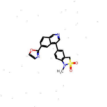 CN1c2ccc(-c3cncc4ccc(-c5ncco5)cc34)cc2CS1(=O)=O